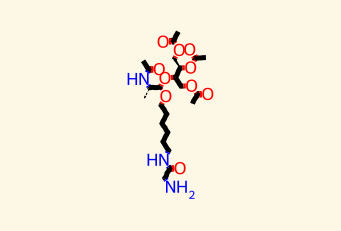 CC(=O)N[C@@H](C)[C@H](OCCCCCCNC(=O)CN)OC(COC(C)=O)[C@@H](COC(C)=O)OC(C)=O